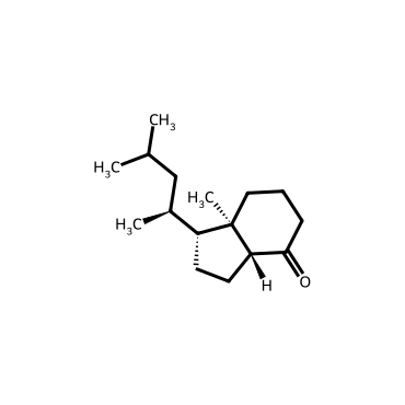 CC(C)C[C@H](C)[C@H]1CC[C@H]2C(=O)CCC[C@]12C